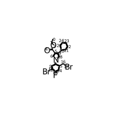 CCOC(=O)c1cn(-c2cc(Br)c(F)cc2CBr)cc1-c1ccccc1